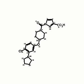 O=C(O)c1ccn(C(=O)N2CCN(Oc3ccc(Cl)c(N4CCCC4)c3)CC2)n1